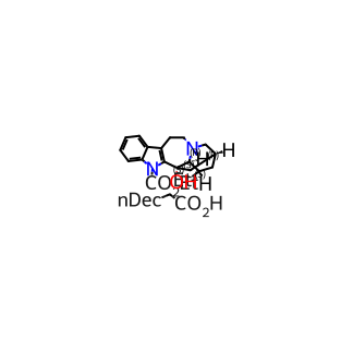 CCCCCCCCCCCC(=O)O.CCOC(=O)n1c2c(c3ccccc31)CC[N@@]1C[C@@H]3C[C@H](CC)[C@H]1[C@@]2(O)C3